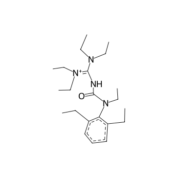 CCc1cccc(CC)c1N(CC)C(=O)NC(N(CC)CC)=[N+](CC)CC